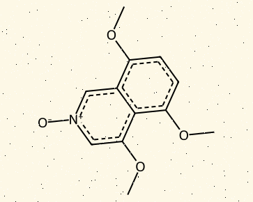 COc1ccc(OC)c2c(OC)c[n+]([O-])cc12